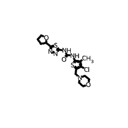 Cc1c(NC(=O)Nc2nnc(C3CCCO3)s2)sc(CN2CCOCC2)c1Cl